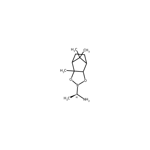 C[C@H](N)B1OC2C3CCC(C3(C)C)C2(C)O1